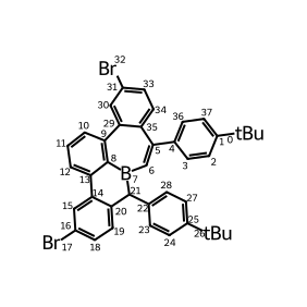 CC(C)(C)c1ccc(C2=CB3c4c(cccc4-c4cc(Br)ccc4C3c3ccc(C(C)(C)C)cc3)-c3cc(Br)ccc32)cc1